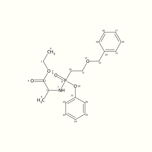 CCOC(=O)C(C)NP(=O)(CCOCc1ccccc1)Oc1ccccc1